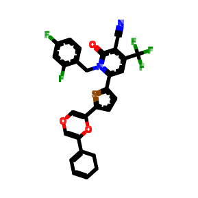 N#Cc1c(C(F)(F)F)cc(-c2ccc(C3=COC=C(C4=CC=CCC4)O3)s2)n(Cc2ccc(F)cc2F)c1=O